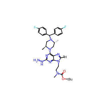 [2H]c1nc2c(N3C[C@@H](C)N(C(c4ccc(F)cc4)c4ccc(F)cc4)C[C@@H]3C)nc(NN)nc2n1CCN(C)C(=O)OC(C)(C)C